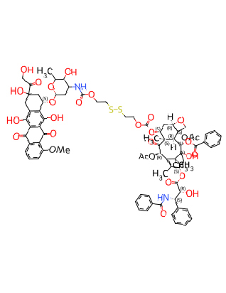 COc1cccc2c1C(=O)c1c(O)c3c(c(O)c1C2=O)CC(O)(C(=O)CO)C[C@@H]3OC1CC(NC(=O)OCCSSCCOC(=O)O[C@H]2C[C@H]3OC[C@@]3(OC(C)=O)[C@H]3[C@H](OC(=O)c4ccccc4)[C@]4(O)C[C@H](OC(=O)[C@H](O)[C@@H](NC(=O)c5ccccc5)c5ccccc5)C(C)=C([C@@H](OC(C)=O)C(=O)[C@]23C)C4(C)C)C(O)C(C)O1